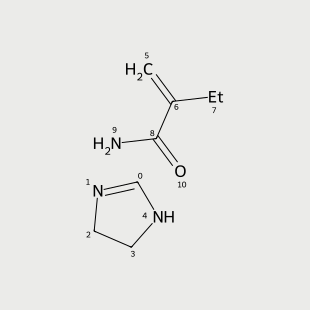 C1=NCCN1.C=C(CC)C(N)=O